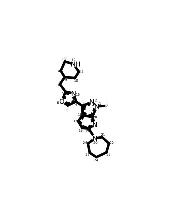 Cn1nc(-c2coc(CC3CCNCC3)n2)c2ccc(N3CCCCCC3)nc21